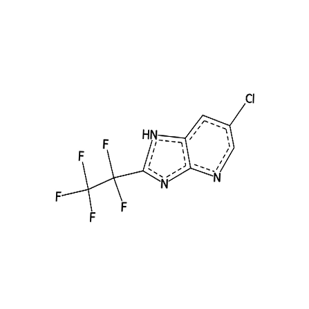 FC(F)(F)C(F)(F)c1nc2ncc(Cl)cc2[nH]1